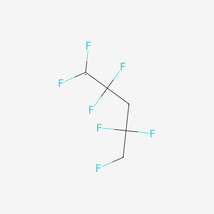 FCC(F)(F)CC(F)(F)[C](F)F